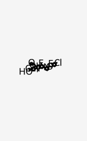 O=C(O)c1ccc2nc(Cc3c(F)cc(-c4cccc(OCc5ccc(Cl)cc5F)n4)cc3F)n(CC3CCO3)c2c1